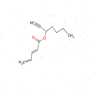 C#CC(CCCC)OC(=O)C=CC=C